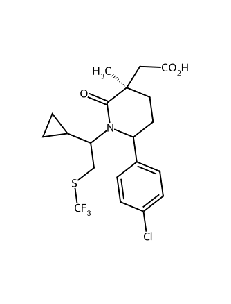 C[C@]1(CC(=O)O)CCC(c2ccc(Cl)cc2)N(C(CSC(F)(F)F)C2CC2)C1=O